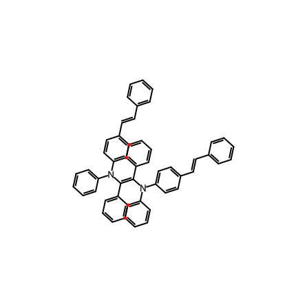 C(=Cc1ccc(N(C(=C(c2ccccc2)N(c2ccccc2)c2ccc(C=Cc3ccccc3)cc2)c2ccccc2)c2ccccc2)cc1)c1ccccc1